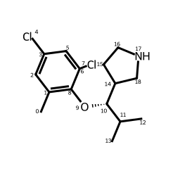 Cc1cc(Cl)cc(Cl)c1O[C@@H](C(C)C)C1CCNC1